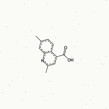 Cc1ccc2c(C(=O)O)cc(C)nc2c1